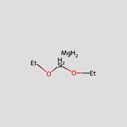 CCO[SiH2]OCC.[MgH2]